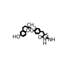 CC1(COc2ccc(CC3SC(=N)NC3=O)cc2)CCc2cc(O)ccc2O1